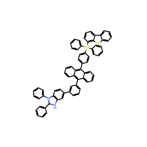 c1ccc(C2Nc3cc(-c4cccc(-c5c6ccccc6c(-c6ccc(S(c7ccccc7)(c7ccccc7)c7cccc8c7sc7ccccc78)cc6)c6ccccc56)c4)ccc3N2c2ccccc2)cc1